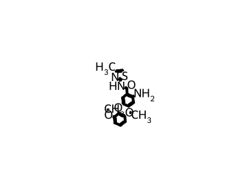 COc1cccc(OC)c1Oc1ccc(N)c(C(=O)Nc2nc(C)cs2)c1